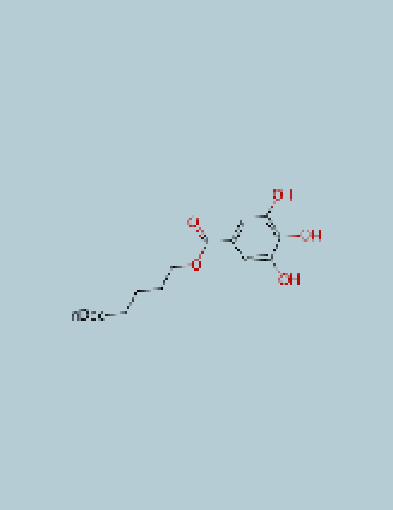 CCCCCCCCCCCCCCOC(=O)c1cc(O)c(O)c(O)c1